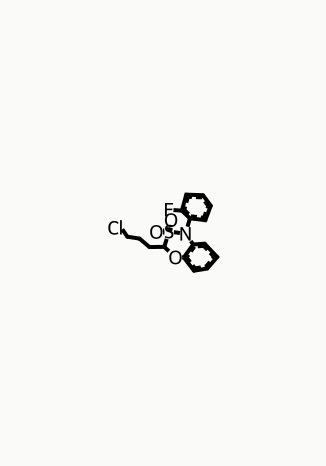 O=S1(=O)C(CCCCl)Oc2ccccc2N1c1ccccc1F